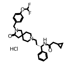 Cl.O=C(CC1CC1)N[C@@H](CCN1CCC2(CC1)CC(=O)N(Cc1ccc(OC(F)F)cc1)C2)c1ccccc1